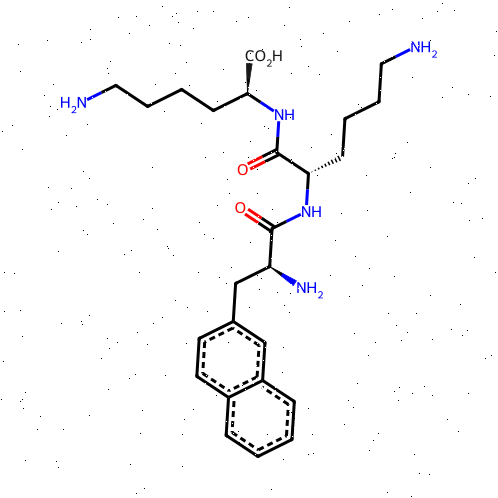 NCCCC[C@H](NC(=O)[C@H](CCCCN)NC(=O)[C@@H](N)Cc1ccc2ccccc2c1)C(=O)O